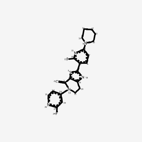 O=C1c2sc(-c3ccc(N4CCCCC4)nc3F)nc2CCN1c1ccnc(F)c1